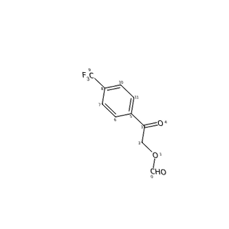 O=COCC(=O)c1ccc(C(F)(F)F)cc1